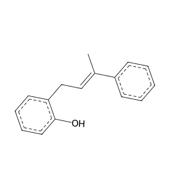 C/C(=C\Cc1ccccc1O)c1ccccc1